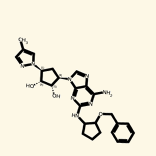 Cc1cnn([C@H]2C[C@@H](n3cnc4c(N)nc(NC5CCCC5OCc5ccccc5)nc43)[C@H](O)[C@@H]2O)c1